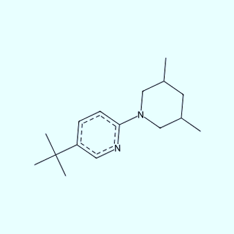 CC1CC(C)CN(c2ccc(C(C)(C)C)cn2)C1